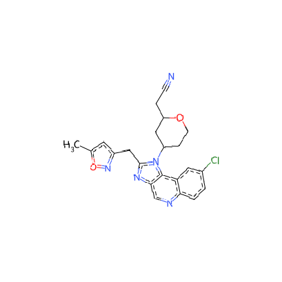 Cc1cc(Cc2nc3cnc4ccc(Cl)cc4c3n2C2CCOC(CC#N)C2)no1